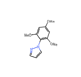 COc1cc(OC)c(-n2cccn2)c(OC)c1